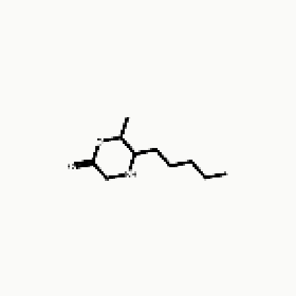 CCCCCC1NCC(=O)OC1C